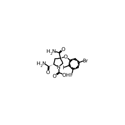 NC(=O)[C@@H]1C[C@](Oc2cc(Br)cc(F)c2I)(C(N)=O)CN1C(=O)O